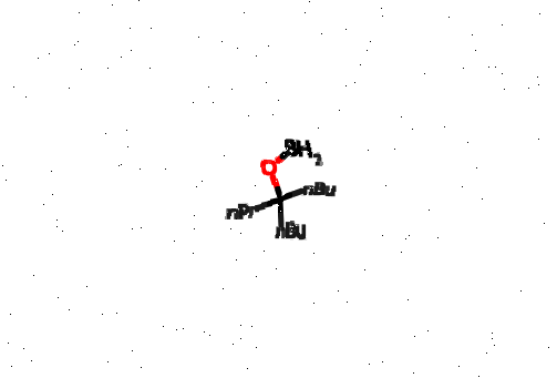 BOC(CCC)(CCCC)CCCC